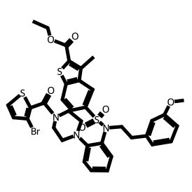 CCOC(=O)c1sc2ccc(S(=O)(=O)N(CCc3cccc(OC)c3)c3ccccc3N3CCN(C(=O)c4sccc4Br)CC3)cc2c1C